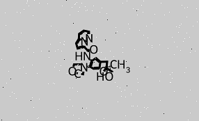 C[C@@]1(CO)Cc2cc(NC(=O)c3ccc4cccnn34)c(N3CCOCC3)cc2O1